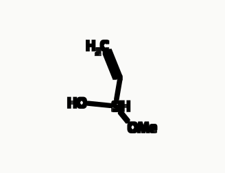 C=C[SiH](O)OC